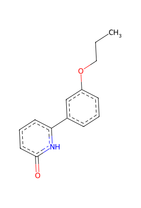 CCCOc1cccc(-c2cccc(=O)[nH]2)c1